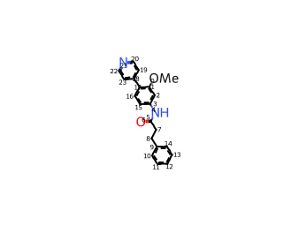 COc1cc(NC(=O)CCc2ccccc2)ccc1-c1ccncc1